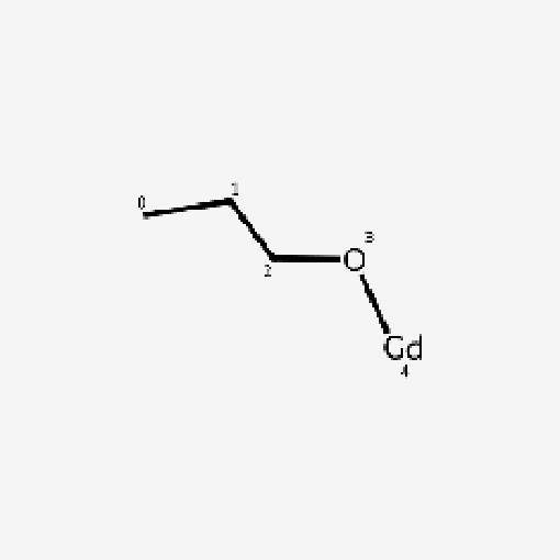 CCC[O][Gd]